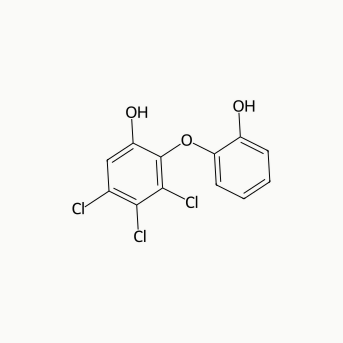 Oc1ccccc1Oc1c(O)cc(Cl)c(Cl)c1Cl